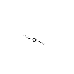 C=CCCCCOc1ccc(OCCCCC=C)cc1